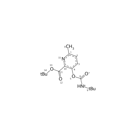 Cc1ccc(OC(=O)NC(C)(C)C)c(C(=O)OC(C)(C)C)n1